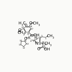 CCCc1sc(C[C@H](OC2CCCC2)[C@H](O)c2cc(OC)c(C)c(OC)c2)nc1[C@H](C)C(=O)O